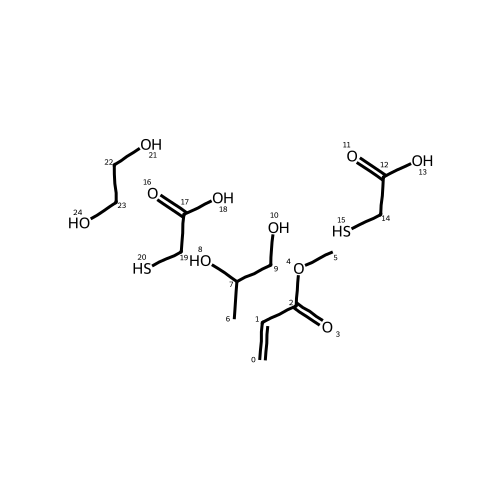 C=CC(=O)OC.CC(O)CO.O=C(O)CS.O=C(O)CS.OCCO